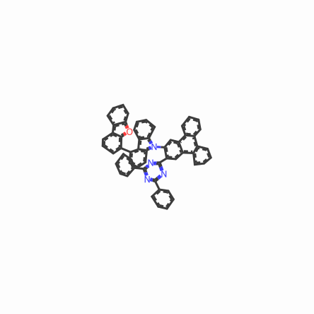 c1ccc(-c2nc(-c3ccccc3)nc(-c3cc4c5ccccc5c5ccccc5c4cc3-n3c4ccccc4c4c(-c5cccc6c5oc5ccccc56)cccc43)n2)cc1